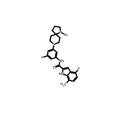 CC(=O)N1CCCC12CCN(c1cc(F)cc(NC(=O)c3cc4c(F)ccc(C)c4[nH]3)c1)CC2